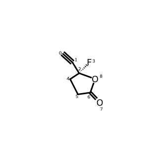 C#C[C@]1(F)CCC(=O)O1